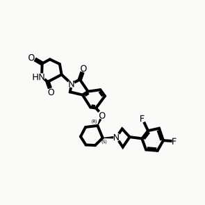 O=C1CCC(N2Cc3cc(O[C@@H]4CCCC[C@@H]4N4CC(c5ccc(F)cc5F)C4)ccc3C2=O)C(=O)N1